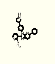 Nc1ncccc1-c1nc2ccc(-c3ccccc3)nc2n1-c1ccc(C2CCNC2)cc1